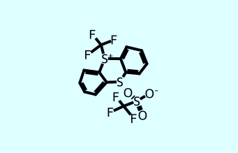 FC(F)(F)[S+]1c2ccccc2Sc2ccccc21.O=S(=O)([O-])C(F)(F)F